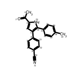 CC(=O)c1cc(-c2ccc(C#N)cc2)c(-c2ccc(C)cc2)[nH]1